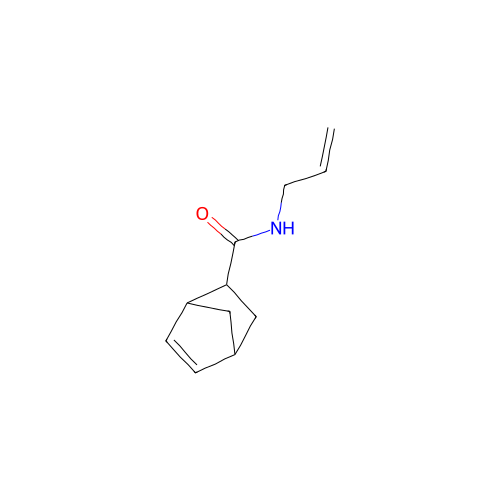 C=CCNC(=O)C1CC2C=CC1C2